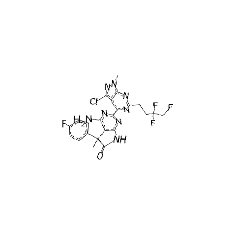 Cn1nc(Cl)c2c(-c3nc(N)c4c(n3)NC(=O)C4(C)c3ccc(F)cc3)nc(CCC(F)(F)CF)nc21